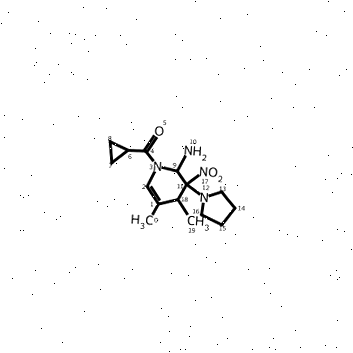 CC1=CN(C(=O)C2CC2)C(N)C(N2CCCC2)([N+](=O)[O-])C1C